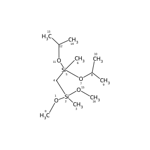 CO[Si](C)(C[Si](C)(OC(C)C)OC(C)C)OC